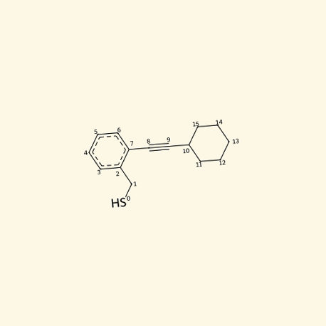 SCc1ccccc1C#CC1CCCCC1